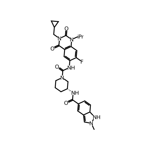 CC(C)n1c(=O)n(CC2CC2)c(=O)c2cc(NC(=O)N3CCC[C@@H](NC(=O)C4=CC5=CN(C)NC5C=C4)C3)c(F)cc21